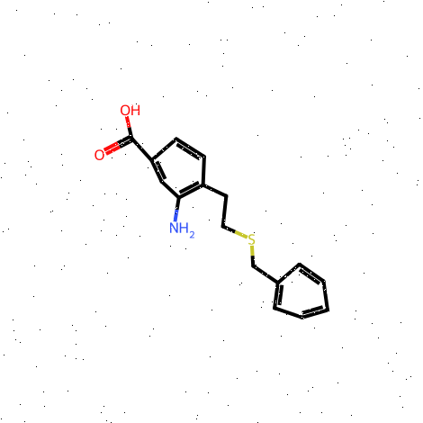 Nc1cc(C(=O)O)ccc1CCSCc1ccccc1